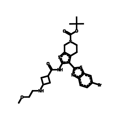 COCCNC1CC(C(=O)Nc2sc3c(c2-c2nc4ccc(Br)cc4s2)CCN(C(=O)OC(C)(C)C)C3)C1